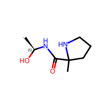 [CH2][C@H](O)NC(=O)C1(C)CCCN1